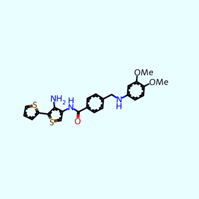 COc1ccc(NCc2ccc(C(=O)Nc3csc(-c4cccs4)c3N)cc2)cc1OC